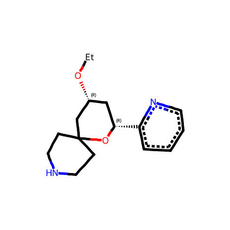 CCO[C@@H]1C[C@H](c2ccccn2)OC2(CCNCC2)C1